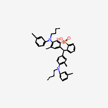 CCCCN(c1cccc(C)c1)c1ccc(C(c2ccc(N(CCCC)c3cccc(C)c3)c(C)c2)c2ccccc2S(=O)(=O)O)cc1C